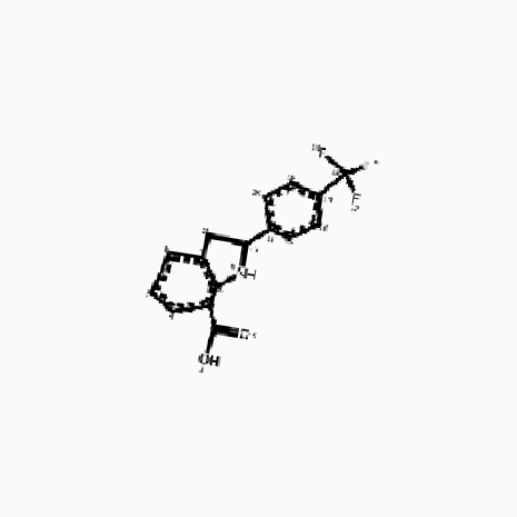 O=C(O)c1cccc2c1NC(c1ccc(C(F)(F)F)cc1)C2